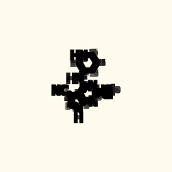 Cl.N#Cc1c[nH]c2nc(Cl)nc(NC3CCCNC3)c12